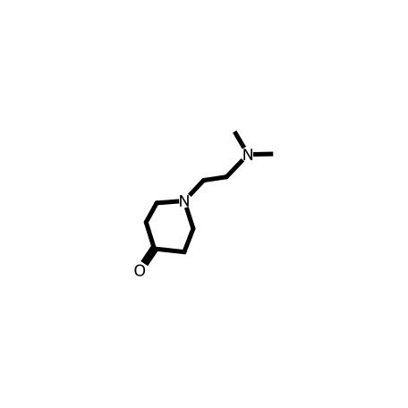 CN(C)CCN1CCC(=O)CC1